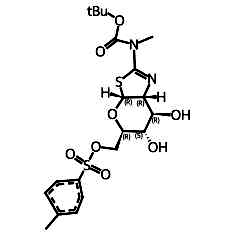 Cc1ccc(S(=O)(=O)OC[C@H]2O[C@@H]3SC(N(C)C(=O)OC(C)(C)C)=N[C@@H]3[C@@H](O)[C@@H]2O)cc1